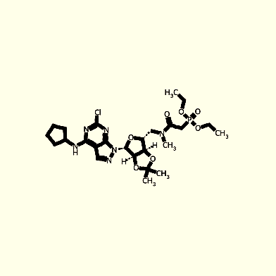 CCOP(=O)(CC(=O)N(C)C[C@H]1O[C@@H](n2ncc3c(NC4CCCC4)nc(Cl)nc32)[C@@H]2OC(C)(C)O[C@@H]21)OCC